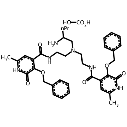 CCCC(N)CN(CCNC(=O)c1cc(C)[nH]c(=O)c1OCc1ccccc1)CCNC(=O)c1cc(C)[nH]c(=O)c1OCc1ccccc1.O=C(O)O